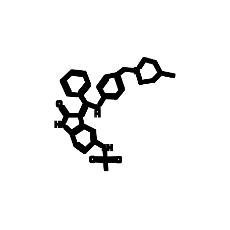 CC1CCN(Cc2ccc(NC(=C3C(=O)Nc4ccc(NS(C)(=O)=O)cc43)c3ccccc3)cc2)CC1